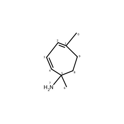 CC1=CC=CC(C)(N)CC1